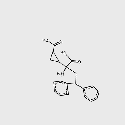 NC(CC(c1ccccc1)c1ccccc1)(C(=O)O)C1CC1C(=O)O